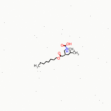 CCCCCCCCOC(=O)CC(CNC(=O)O)CC(C)C